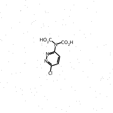 O=C(O)N(C(=O)O)c1ccc(Cl)nn1